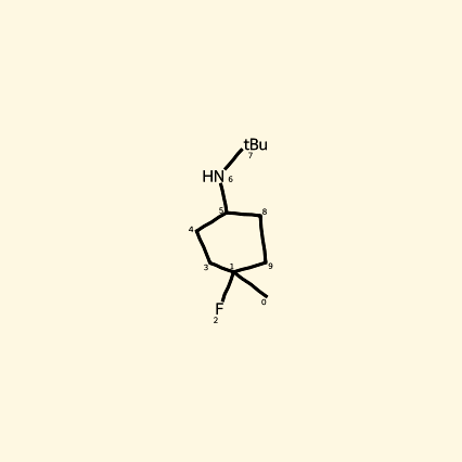 CC1(F)CCC(NC(C)(C)C)CC1